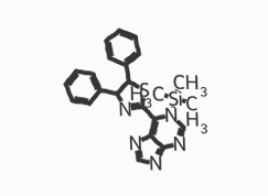 C[Si](C)(C)n1cnc2ncnc-2c1C1=NC(c2ccccc2)C(c2ccccc2)S1